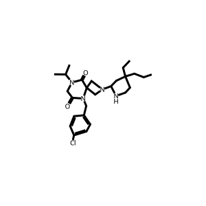 CCCC1(CC)CCNC(N2CC3(C2)C(=O)N(C(C)C)CC(=O)N3Cc2ccc(Cl)cc2)C1